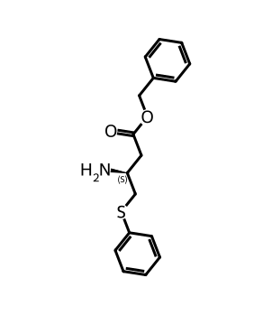 N[C@H](CSc1ccccc1)CC(=O)OCc1ccccc1